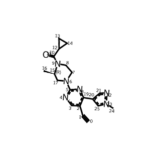 C#Cc1cnc(N2CCN(C(=O)C3CC3)[C@H](C)C2)nc1-c1cnn(C)c1